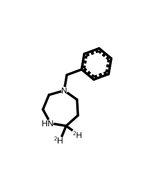 [2H]C1([2H])CCN(Cc2ccccc2)CCN1